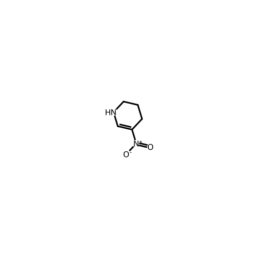 O=[N+]([O-])C1=CNCCC1